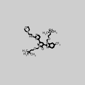 C[Si](C)(C)CCOCn1nc(-c2ccnc(NCCN3CCOCC3)n2)cc(-c2nc3ccc(C(F)(F)F)cc3n2COCC[Si](C)(C)C)c1=O